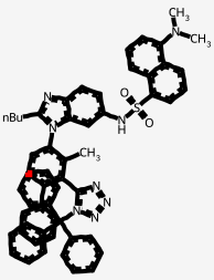 CCCCc1nc2ccc(NS(=O)(=O)c3cccc4c(N(C)C)cccc34)cc2n1-c1ccc(-c2ccccc2)c(-c2nnnn2C(c2ccccc2)(c2ccccc2)c2ccccc2)c1C